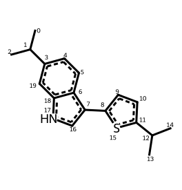 CC(C)c1ccc2c(-c3ccc(C(C)C)s3)c[nH]c2c1